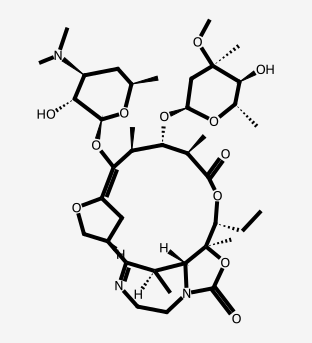 CC[C@H]1OC(=O)[C@H](C)[C@@H](O[C@H]2C[C@@](C)(OC)[C@@H](O)[C@H](C)O2)[C@H](C)/C(O[C@@H]2O[C@H](C)C[C@H](N(C)C)[C@H]2O)=C2\C[C@@H](CO2)C2=NCCN3C(=O)O[C@@]1(C)[C@H]3[C@H]2C